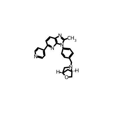 Cc1nc2ccc(-c3ccncc3)nc2n1-c1ccc(CN2C[C@@H]3C[C@@H]2CO3)cc1